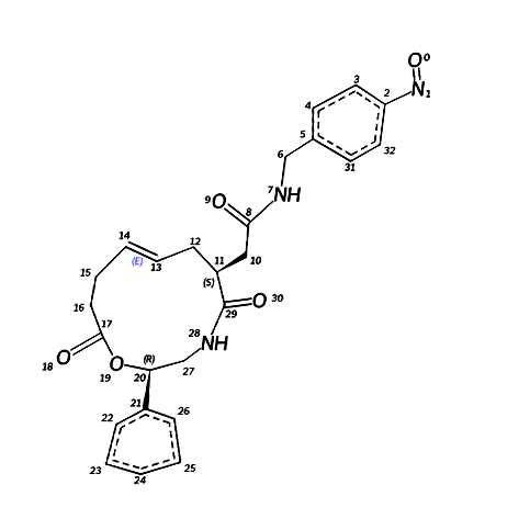 O=Nc1ccc(CNC(=O)C[C@@H]2C/C=C/CCC(=O)O[C@H](c3ccccc3)CNC2=O)cc1